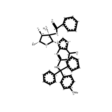 CC[C@H]1O[C@@H](n2cnc3c2N=C(NC(c2ccccc2)(c2ccccc2)c2ccc(OC)cc2)NC3Cl)[C@](C)(OC(=O)c2ccccc2)[C@@H]1F